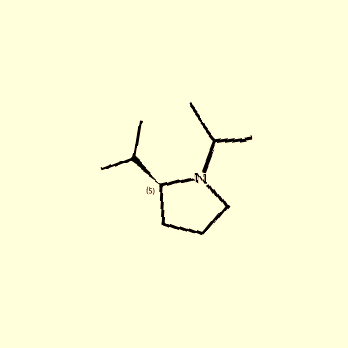 CC(C)[C@@H]1CCCN1C(C)C